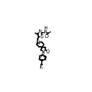 CC(=O)NC1=NC(C)C(CN2CCC3(CC2)CC(=O)N(c2ccc(C#N)cc2)C3)S1